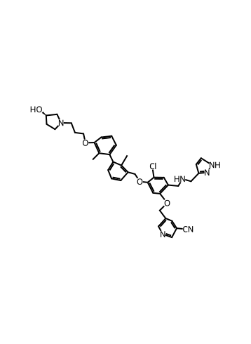 Cc1c(COc2cc(OCc3cncc(C#N)c3)c(CNCc3cc[nH]n3)cc2Cl)cccc1-c1cccc(OCCCN2CC[C@@H](O)C2)c1C